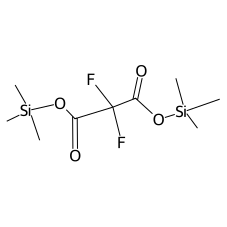 C[Si](C)(C)OC(=O)C(F)(F)C(=O)O[Si](C)(C)C